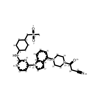 CS(=O)(=O)CC1CCC(Nc2nccc(-n3ccc4c(N5CCN(C(=O)CC#N)CC5)cccc43)n2)CC1